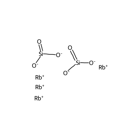 O=[Si]([O-])[O-].O=[Si]([O-])[O-].[Rb+].[Rb+].[Rb+].[Rb+]